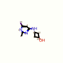 Cc1nc(I)cc(N[C@H]2C[C@H](O)C2)n1